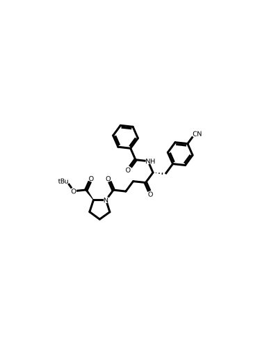 CC(C)(C)OC(=O)[C@@H]1CCCN1C(=O)CCC(=O)[C@@H](Cc1ccc(C#N)cc1)NC(=O)c1ccccc1